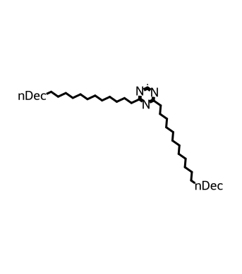 CCCCCCCCCCCCCCCCCCCCCCc1n[c]nc(CCCCCCCCCCCCCCCCCCCCCC)n1